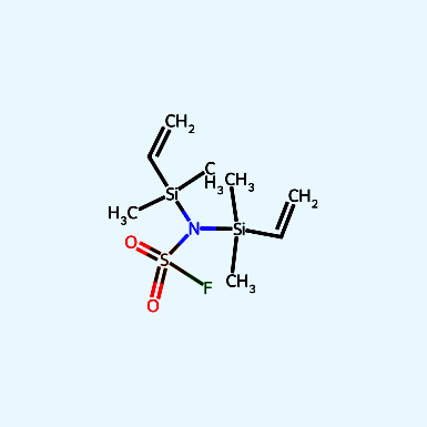 C=C[Si](C)(C)N([Si](C)(C)C=C)S(=O)(=O)F